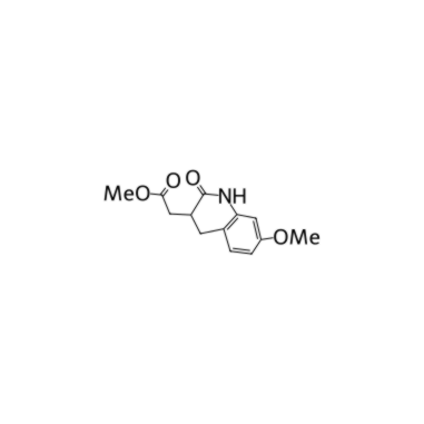 COC(=O)CC1Cc2ccc(OC)cc2NC1=O